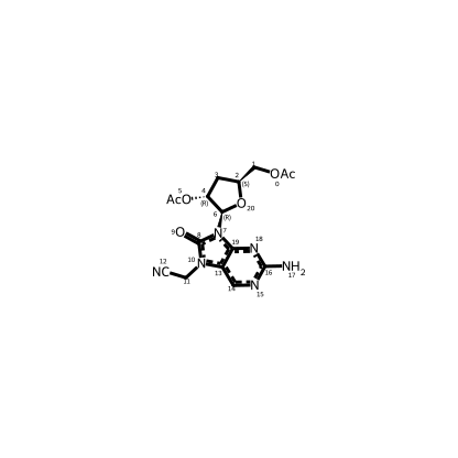 CC(=O)OC[C@@H]1C[C@@H](OC(C)=O)[C@H](n2c(=O)n(CC#N)c3cnc(N)nc32)O1